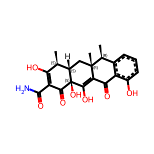 C[C@@H]1C(O)=C(C(N)=O)C(=O)[C@@]2(O)C(O)=C3C(=O)c4c(O)cccc4[C@H](C)[C@@]3(C)C[C@@H]12